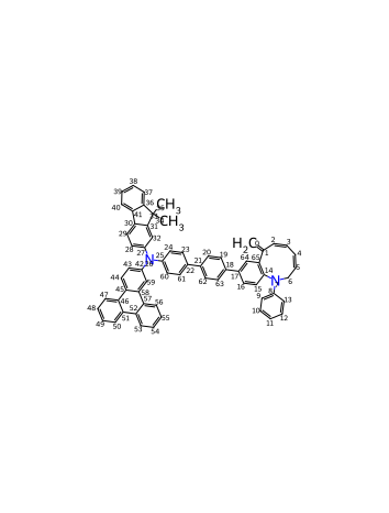 C=C1/C=C\C=C/CN(c2ccccc2)c2ccc(-c3ccc(-c4ccc(N(c5ccc6c(c5)C(C)(C)c5ccccc5-6)c5ccc6c7ccccc7c7ccccc7c6c5)cc4)cc3)cc21